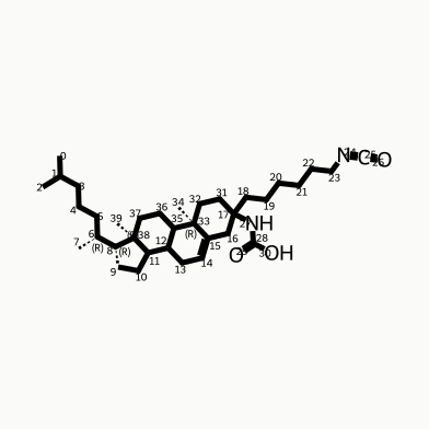 CC(C)CCC[C@@H](C)[C@H]1CCC2C3CC=C4CC(CCCCCCN=C=O)(NC(=O)O)CC[C@]4(C)C3CC[C@@]21C